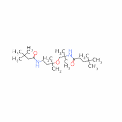 CC(C)(C)CCC(=O)NC(C)(C)COC(C)(C)CCNC(=O)CC(C)(C)C